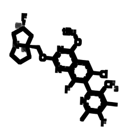 Cc1nc(-c2c(Cl)cc3c(OC(C)(C)C)nc(OC[C@@]45CCCN4C[C@H](F)C5)nc3c2F)c(C(F)(F)F)c(C)c1F